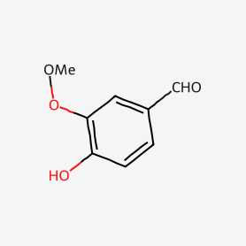 COOc1cc(C=O)ccc1O